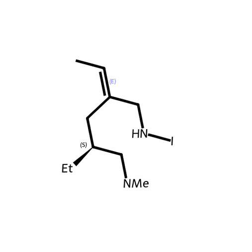 C/C=C(/CNI)C[C@H](CC)CNC